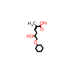 CC(=CCC(O)COC1CCCCC1)C(=O)O